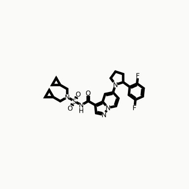 O=C(NS(=O)(=O)N(CC1CC1)CC1CC1)c1cnn2ccc(N3CCCC3c3cc(F)ccc3F)cc12